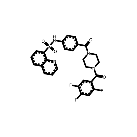 O=C(c1ccc(NS(=O)(=O)c2cccc3cccnc23)cc1)N1CCN(C(=O)c2cc(F)c(F)cc2F)CC1